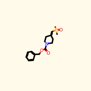 CP(C)(=O)C=C1CCN(C(=O)OCc2ccccc2)CC1